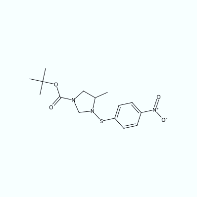 CC1CN(C(=O)OC(C)(C)C)CN1Sc1ccc([N+](=O)[O-])cc1